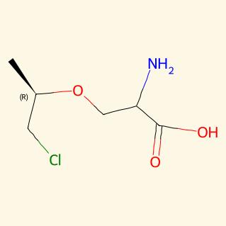 C[C@H](CCl)OCC(N)C(=O)O